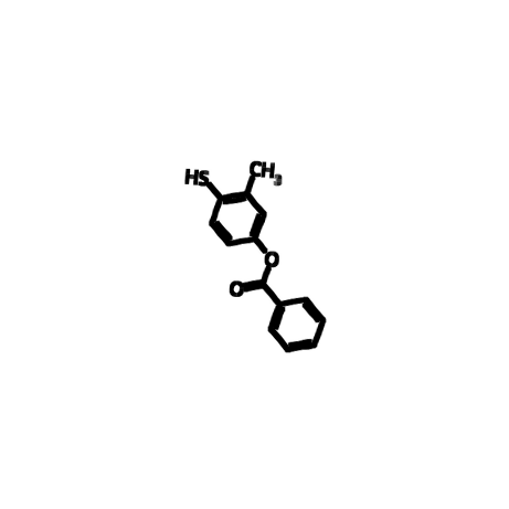 Cc1cc(OC(=O)c2ccccc2)ccc1S